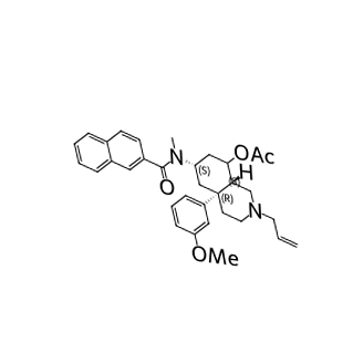 C=CCN1CC[C@@]2(c3cccc(OC)c3)C[C@H](N(C)C(=O)c3ccc4ccccc4c3)CC(OC(C)=O)[C@@H]2C1